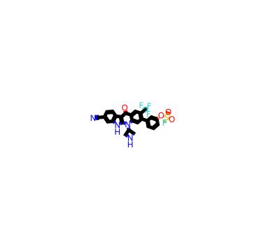 N#Cc1ccc2c(c1)[nH]c1c2c(=O)c2cc(C(F)(F)F)c(-c3cccc(OS(=O)(=O)F)c3)cc2n1C1CNC1